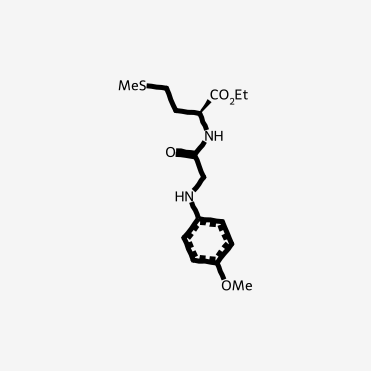 CCOC(=O)[C@H](CCSC)NC(=O)CNc1ccc(OC)cc1